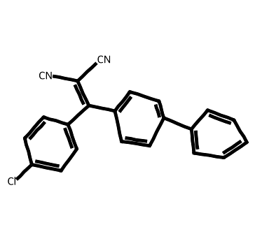 [C-]#[N+]/C(C#N)=C(\c1ccc(Cl)cc1)c1ccc(-c2ccccc2)cc1